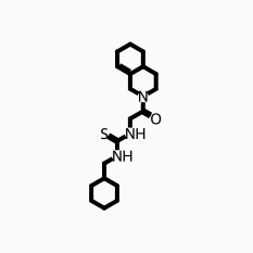 O=C(CNC(=S)NCC1CCCCC1)N1CCC2CCCC=C2C1